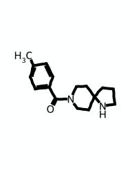 Cc1ccc(C(=O)N2CCC3(CCCN3)CC2)cc1